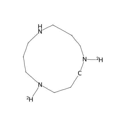 [2H]N1CCCNCCCN([2H])CCC1